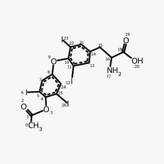 CC(=O)Oc1c(I)cc(Oc2c(I)cc(CC(N)C(=O)O)cc2I)cc1I